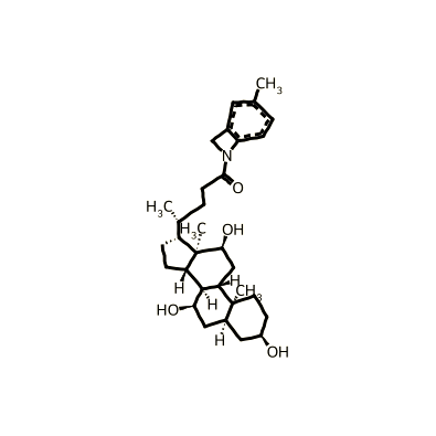 Cc1ccc2c(c1)CN2C(=O)CC[C@@H](C)[C@H]1CC[C@H]2[C@@H]3[C@H](O)C[C@@H]4C[C@H](O)CC[C@]4(C)[C@H]3C[C@H](O)[C@]12C